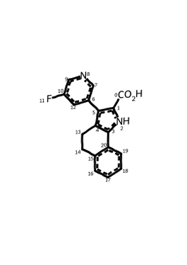 O=C(O)c1[nH]c2c(c1-c1cncc(F)c1)CCc1ccccc1-2